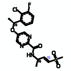 C[C@H](/C=C/S(C)(=O)=O)NC(=O)c1ncc(O[C@@H](C)c2cccc(F)c2Cl)cn1